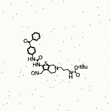 CC(C)(C)OC(=O)NCCCN1CCc2c(sc(NC(=O)Nc3ccc(C(=O)c4ccccc4)cc3)c2CN=O)C1